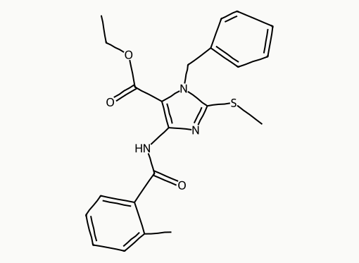 CCOC(=O)c1c(NC(=O)c2ccccc2C)nc(SC)n1Cc1ccccc1